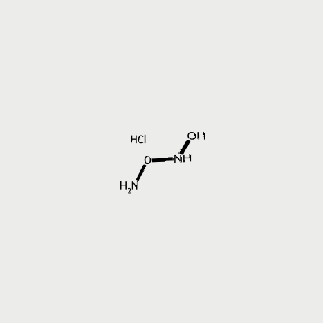 Cl.NONO